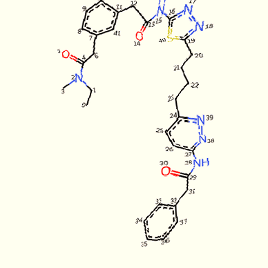 CCN(C)C(=O)Cc1cccc(CC(=O)Nc2nnc(CCCCc3ccc(NC(=O)Cc4ccccc4)nn3)s2)c1